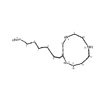 CCCCCCCCCCCCCCC1CNCCNCCNN1